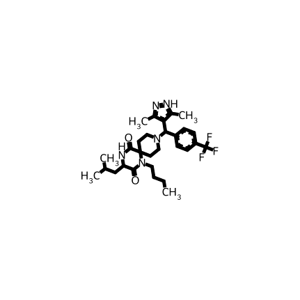 CCCCN1C(=O)C(CC(C)C)NC(=O)C12CCN(C(c1ccc(C(F)(F)F)cc1)c1c(C)n[nH]c1C)CC2